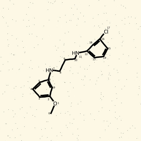 COc1cccc(NCCCNc2cccc(Cl)c2)c1